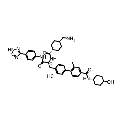 Cc1cc(C(=O)N[C@H]2CC[C@H](O)CC2)ccc1-c1ccc(C[C@H](NC(=O)[C@H]2CC[C@H](CN)CC2)C(=O)Nc2ccc(-c3nn[nH]n3)cc2)cc1.Cl